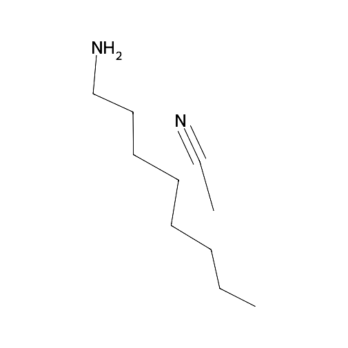 CC#N.CCCCCCCCN